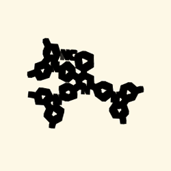 Cc1ccc2c(c1)c1cc(C)ccc1n2-c1ccc(-c2cc(-c3cccc(C#N)c3)c(-c3ccc(-n4c5ccc(C)cc5c5cc(C)ccc54)cc3)c(-c3ccc(-n4c5ccc(C)cc5c5cc(C)ccc54)cc3)n2)cc1